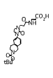 CC(C)(C)OC(=O)N1CCc2ccc(N3CCN(CCC(=O)NCCC(=O)O)C3=O)cc2CC1